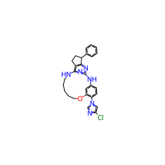 Clc1cn(-c2ccc3cc2OCCCCCNc2nc(nc4c2CCC4c2ccccc2)N3)cn1